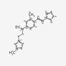 CCN(CCn1cc[n+](C)c1)c1ccc(N=Nc2nccs2)c(C)c1